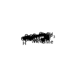 CCC(C)(C)C(=O)C(=O)N1CCCC[C@H]1C(=O)O[C@H](CCc1ccc(OC)c(OC)c1)c1cccc(OCC(=O)NCCCCCNC(=O)COc2c(OC)cc(/N=N\c3cccc4c3CN(C3CCC(=O)NC3=O)C4=O)cc2OC)c1